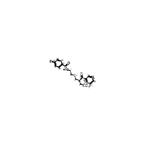 O=C(O)CC(CSCCNC(=O)c1ccc(F)cc1)C(=O)c1cccnc1